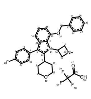 Fc1ccc(-c2c(C3CCOCC3)n(C3CNC3)c3c(OCc4ccccc4)cccc23)cc1.O=C(O)C(F)(F)F